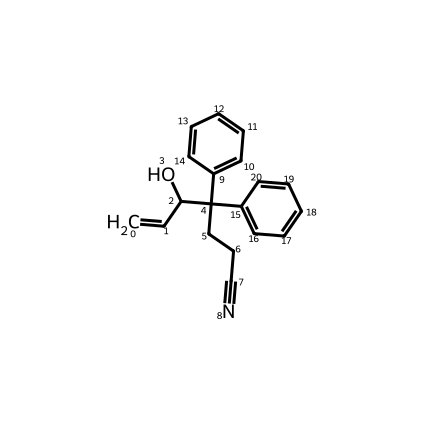 C=CC(O)C(CCC#N)(c1ccccc1)c1ccccc1